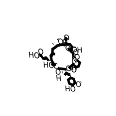 CO[C@H]1C[C@@H](C)C/C(C)=C/[C@@H](C/C=C/C(=O)O)C(O)C[C@H](O)[C@@H](C)[C@@H](/C(C)=C/[C@@H]2CC[C@@H](O)[C@H](OC)C2)OC(=O)[C@@H]2CCCCN2C(=O)C(=O)[C@]2(O)O[C@H]1[C@@H](C=O)C[C@H]2C